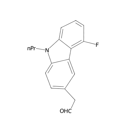 CCCn1c2ccc(CC=O)cc2c2c(F)cccc21